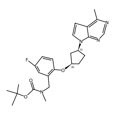 Cc1ncnc2c1ccn2[C@H]1CC[C@@H](Oc2ccc(F)cc2CN(C)C(=O)OC(C)(C)C)C1